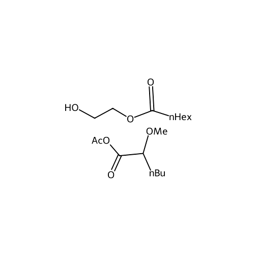 CCCCC(OC)C(=O)OC(C)=O.CCCCCCC(=O)OCCO